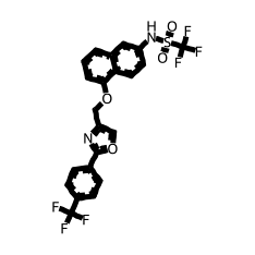 O=S(=O)(Nc1ccc2c(OCc3coc(-c4ccc(C(F)(F)F)cc4)n3)cccc2c1)C(F)(F)F